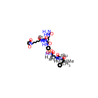 CN[C@H](C(=O)NC(C(=O)N(C)[C@H](/C=C(\C)C(=O)NS(=O)(=O)c1ccc(NC(=O)[C@H](CCCNC(N)=O)NC(=O)C(NC(=O)CCCCCN2C(=O)C=CC2=O)C(C)C)cc1)C(C)C)C(C)(C)C)C(C)(C)c1ccccc1